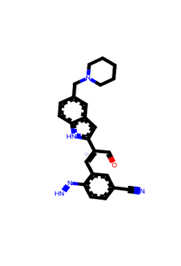 N#Cc1ccc(N=N)c(/C=C(\C=O)c2cc3cc(CN4CCCCC4)ccc3[nH]2)c1